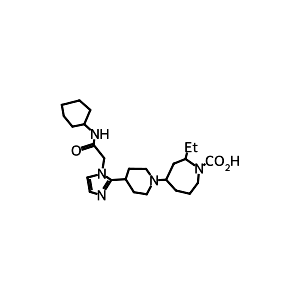 CCC1CC(N2CCC(c3nccn3CC(=O)NC3CCCCC3)CC2)CCCN1C(=O)O